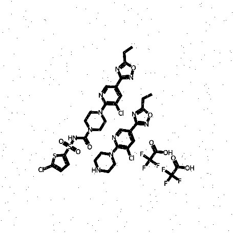 CCc1nc(-c2cnc(N3CCN(C(=O)NS(=O)(=O)c4ccc(Cl)s4)CC3)c(Cl)c2)no1.CCc1nc(-c2cnc(N3CCNCC3)c(Cl)c2)no1.O=C(O)C(F)(F)F.O=C(O)C(F)(F)F